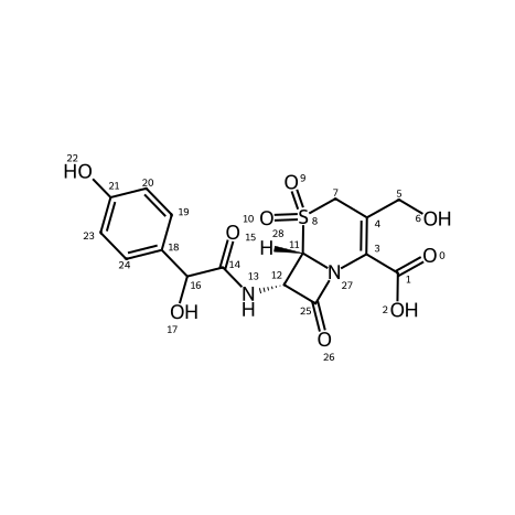 O=C(O)C1=C(CO)CS(=O)(=O)[C@H]2[C@@H](NC(=O)C(O)c3ccc(O)cc3)C(=O)N12